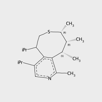 Cc1ncc(C(C)C)c2c1[C@@H](C)[C@@H](C)[C@@H](C)SCC2C(C)C